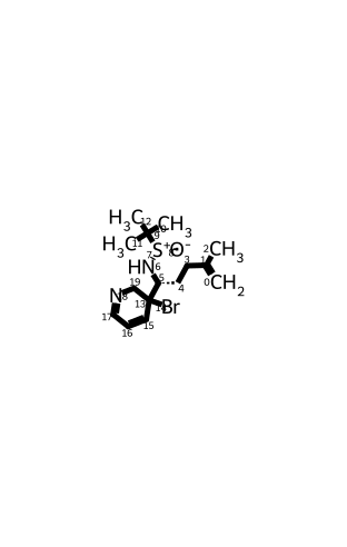 C=C(C)CC[C@@H](N[S@@+]([O-])C(C)(C)C)C1(Br)C=CC=NC1